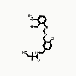 CC(C)Nc1cccc(NCOCc2cc(CNC(=O)C(C)(C)CO)ccc2Cl)c1C=N